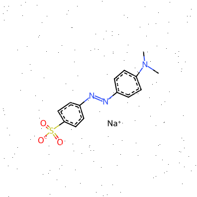 CN(C)c1ccc(N=Nc2ccc(S(=O)(=O)[O-])cc2)cc1.[Na+]